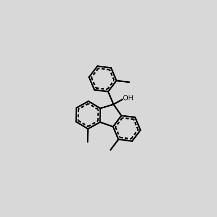 Cc1ccccc1C1(O)c2cccc(C)c2-c2c(C)cccc21